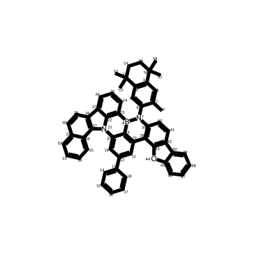 Cc1cc2c(cc1N1B3c4c(cc(-c5ccccc5)cc4-n4c5c3cccc5c3ccc5ccccc5c34)-c3c1ccc1c3oc3ccccc31)C(C)(C)CCC2(C)C